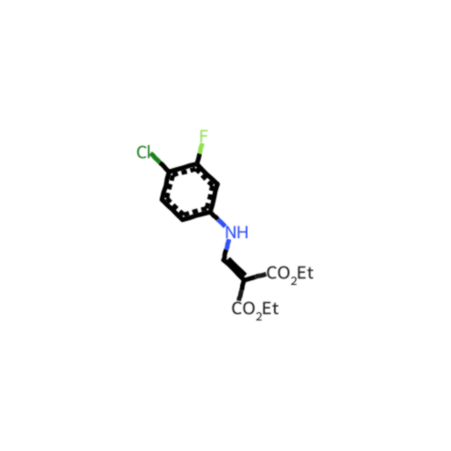 CCOC(=O)C(=CNc1ccc(Cl)c(F)c1)C(=O)OCC